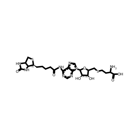 NC(CCSCC1OC(n2cnc3c(NC(=O)CCCC[C@@H]4SCC5NC(=O)NC54)ncnc32)[C@H](O)[C@@H]1O)C(=O)O